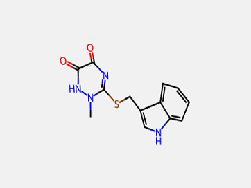 Cn1[nH]c(=O)c(=O)nc1SCc1c[nH]c2ccccc12